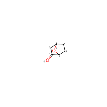 O=C1CC2CCC1O2